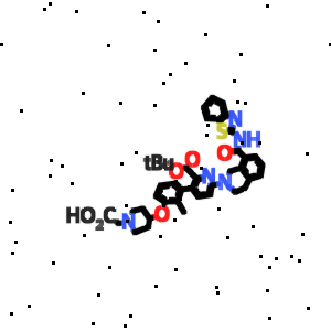 Cc1c(OC2CCN(CC(=O)O)CC2)cccc1-c1ccc(N2CCc3cccc(C(=O)Nc4nc5ccccc5s4)c3C2)nc1C(=O)OC(C)(C)C